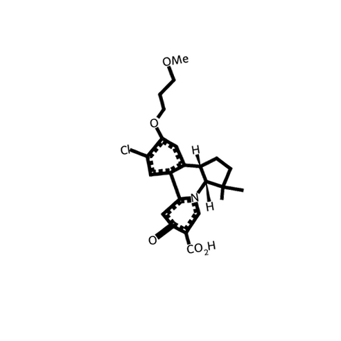 COCCCOc1cc2c(cc1Cl)-c1cc(=O)c(C(=O)O)cn1[C@@H]1[C@H]2CCC1(C)C